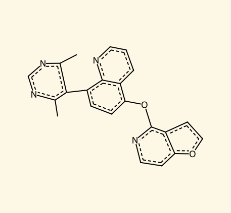 Cc1ncnc(C)c1-c1ccc(Oc2nccc3occc23)c2cccnc12